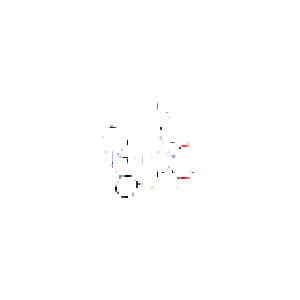 C[N+]1(Cc2cccc(SC3SC4[C@@H](CCO)C(=O)N4C3C(=O)[O-])c2)CCCCC1